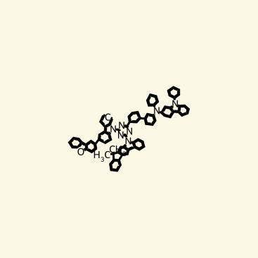 CC1(C)c2ccccc2-c2cc3c4ccccc4n(-c4nc(-c5cccc(-c6cccc(N(c7ccccc7)c7ccc8c9ccccc9n(-c9ccccc9)c8c7)c6)c5)nc(-n5c6ccccc6c6cc(-c7ccc8oc9ccccc9c8c7)ccc65)n4)c3cc21